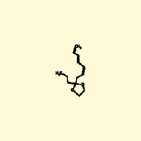 C=C/C=C/C=C\CC1(CCC)OCCO1